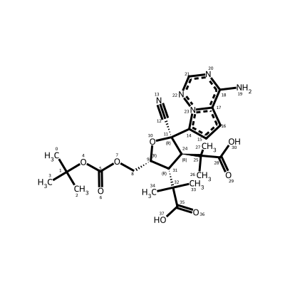 CC(C)(C)OC(=O)OC[C@@H]1O[C@@](C#N)(c2ccc3c(N)ncnn23)[C@@H](C(C)(C)C(=O)O)[C@@H]1C(C)(C)C(=O)O